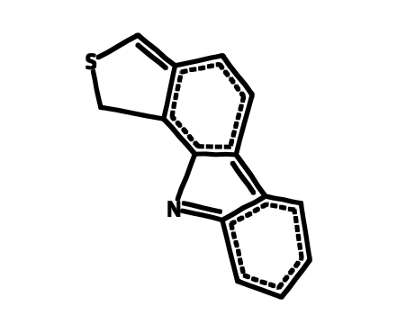 C1=c2ccc3c(c2CS1)N=c1ccccc1=3